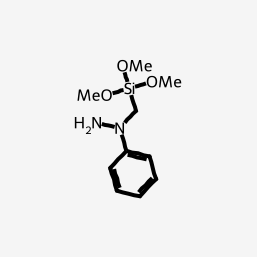 CO[Si](CN(N)c1ccccc1)(OC)OC